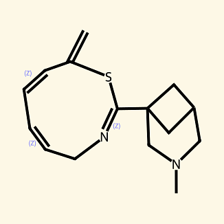 C=C1/C=C\C=C/C/N=C(/C23CC(CN(C)C2)C3)S1